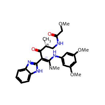 CN/C(Nc1cc(OC)cc(OC)c1)=C(/C(=O)[C@H](C)CNC(=O)COC)c1nc2ccccc2[nH]1